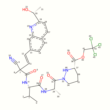 CC(C)[C@H](NC(=O)C(C)(C#N)/C=C/c1ccc2ccc([C@@H](C)O)nc2c1)C(=O)N[C@@H](C)C(=O)N1CCC[C@@H](C(=O)OCC(Cl)(Cl)Cl)N1